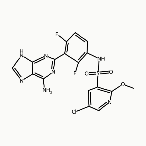 COc1ncc(Cl)cc1S(=O)(=O)Nc1ccc(F)c(-c2nc(N)c3nc[nH]c3n2)c1F